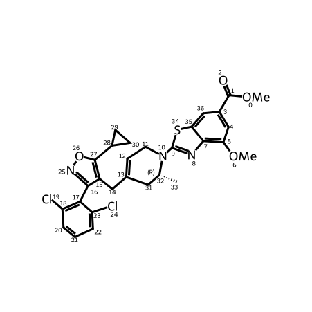 COC(=O)c1cc(OC)c2nc(N3CC=C(Cc4c(-c5c(Cl)cccc5Cl)noc4C4CC4)C[C@H]3C)sc2c1